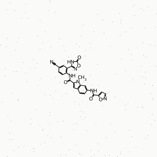 Cn1c(C(=O)Nc2ccc(C#N)cc2-c2noc(=O)[nH]2)cc2ccc(NC(=O)c3ccno3)cc21